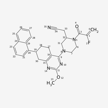 C=C(F)C(=O)N1CCN(c2nc(OC)nc3c2CCC(c2cccc4ccccc24)C3)CC1CC#N